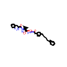 NC(Cc1ccccc1)C(=O)NC1(C(=O)ONC(=O)Cc2ccc(CCCCc3ccccc3)cc2)CC1